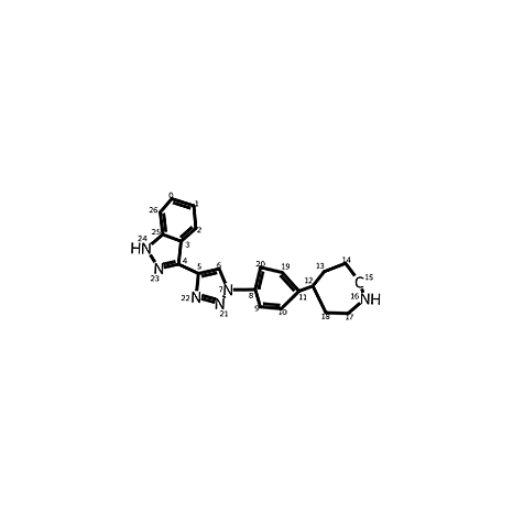 c1ccc2c(-c3cn(-c4ccc(C5CCCNCC5)cc4)nn3)n[nH]c2c1